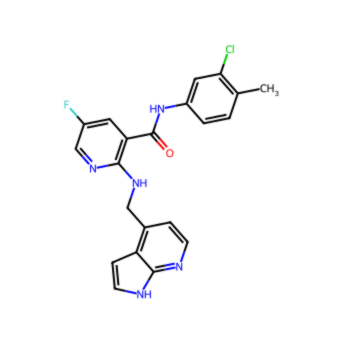 Cc1ccc(NC(=O)c2cc(F)cnc2NCc2ccnc3[nH]ccc23)cc1Cl